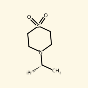 CC(C)[C@@H](C)N1CCS(=O)(=O)CC1